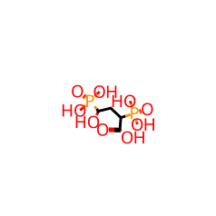 O=C(O)C(CC(O)P(=O)(O)O)P(=O)(O)O